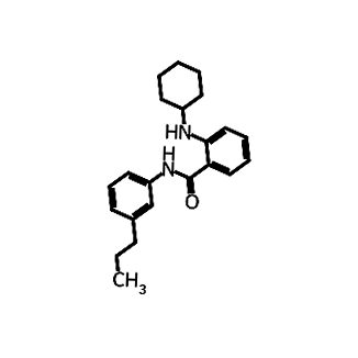 CCCc1cccc(NC(=O)c2ccccc2NC2CCCCC2)c1